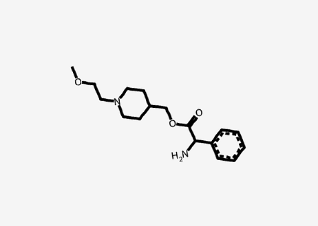 COCCN1CCC(COC(=O)C(N)c2ccccc2)CC1